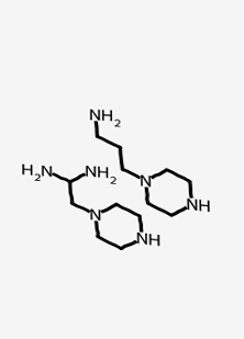 NC(N)CN1CCNCC1.NCCCN1CCNCC1